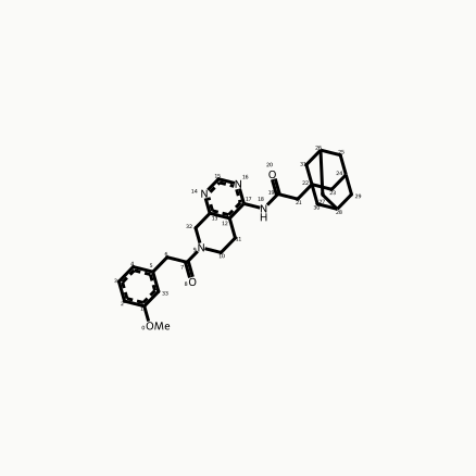 COc1cccc(CC(=O)N2CCc3c(ncnc3NC(=O)CC34CC5CC(CC(C5)C3)C4)C2)c1